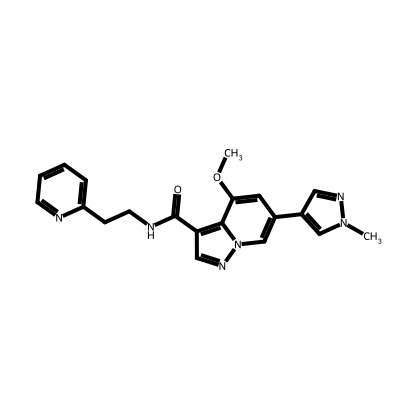 COc1cc(-c2cnn(C)c2)cn2ncc(C(=O)NCCc3ccccn3)c12